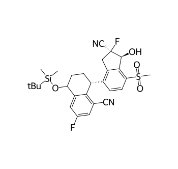 CC(C)(C)[Si](C)(C)OC1CC[C@H](c2ccc(S(C)(=O)=O)c3c2C[C@](F)(C#N)[C@H]3O)c2c(C#N)cc(F)cc21